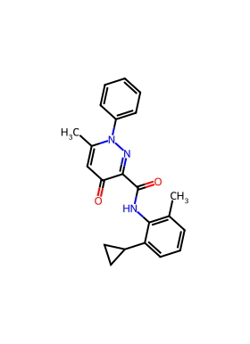 Cc1cccc(C2CC2)c1NC(=O)c1nn(-c2ccccc2)c(C)cc1=O